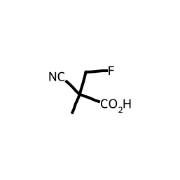 CC(C#N)(CF)C(=O)O